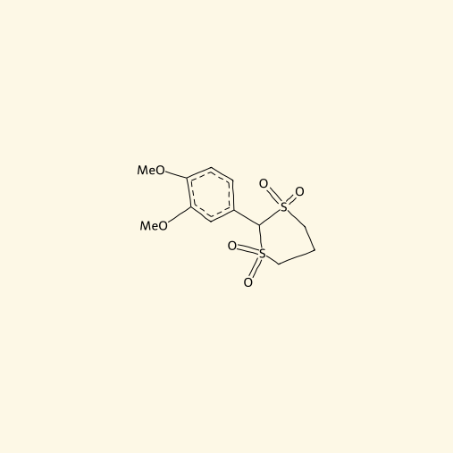 COc1ccc(C2S(=O)(=O)CCCS2(=O)=O)cc1OC